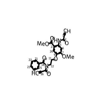 C#CC(=O)Nc1cc(OC)c(OCCN(C(=O)C#C)C(=O)c2ccccc2)cc1C(=O)OC